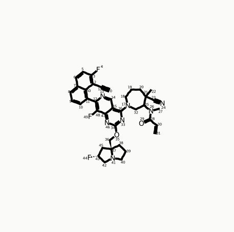 C#Cc1c(F)ccc2cccc(-c3ncc4c(N5CCCC(C)(C#N)C(N(C)C(=O)C=C)C5)nc(OC[C@@]56CCCN5C[C@H](F)C6)nc4c3F)c12